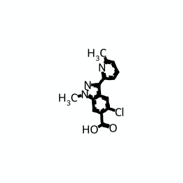 Cc1cccc(-c2nn(C)c3cc(C(=O)O)c(Cl)cc23)n1